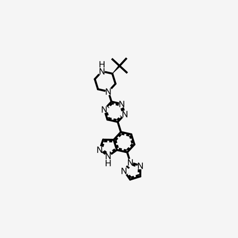 CC(C)(C)[C@H]1CN(c2ncc(-c3ccc(-n4nccn4)c4[nH]ncc34)nn2)CCN1